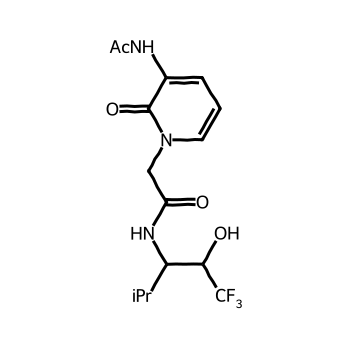 CC(=O)Nc1cccn(CC(=O)NC(C(C)C)C(O)C(F)(F)F)c1=O